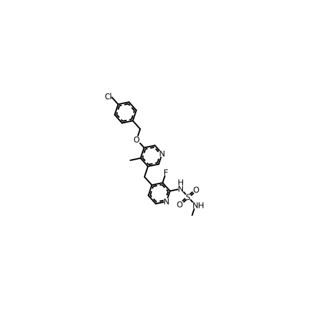 CNS(=O)(=O)Nc1nccc(Cc2cncc(OCc3ccc(Cl)cc3)c2C)c1F